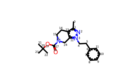 Cc1nn(CCc2ccccc2)c2c1CCN(C(=O)OC(C)(C)C)C2